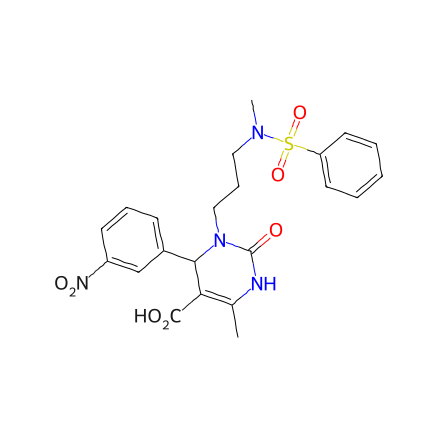 CC1=C(C(=O)O)C(c2cccc([N+](=O)[O-])c2)N(CCCN(C)S(=O)(=O)c2ccccc2)C(=O)N1